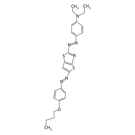 CCCCOc1ccc(N=Nc2cc3sc(N=Nc4ccc(N(CC)CC)cc4)nc3s2)cc1